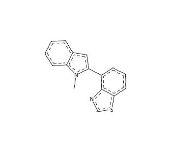 Cn1c(-c2cccc3s[c]nc23)cc2ccccc21